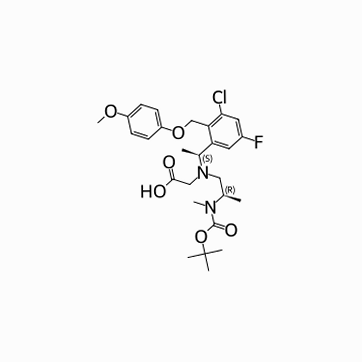 COc1ccc(OCc2c(Cl)cc(F)cc2[C@H](C)N(CC(=O)O)C[C@@H](C)N(C)C(=O)OC(C)(C)C)cc1